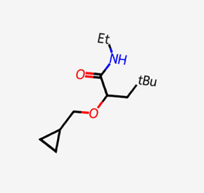 CCNC(=O)C(CC(C)(C)C)OCC1CC1